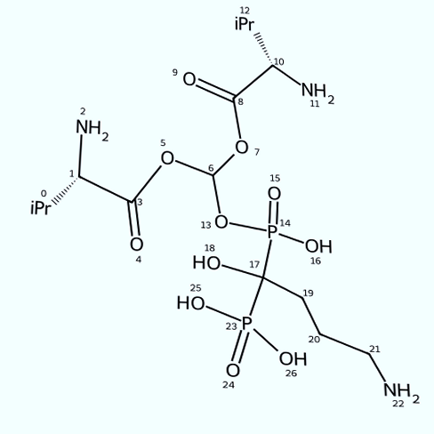 CC(C)[C@H](N)C(=O)OC(OC(=O)[C@@H](N)C(C)C)OP(=O)(O)C(O)(CCCN)P(=O)(O)O